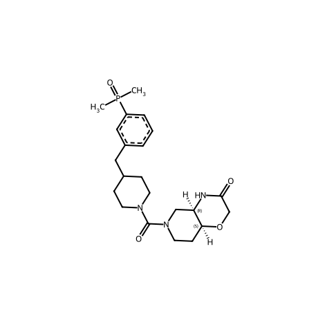 CP(C)(=O)c1cccc(CC2CCN(C(=O)N3CC[C@@H]4OCC(=O)N[C@@H]4C3)CC2)c1